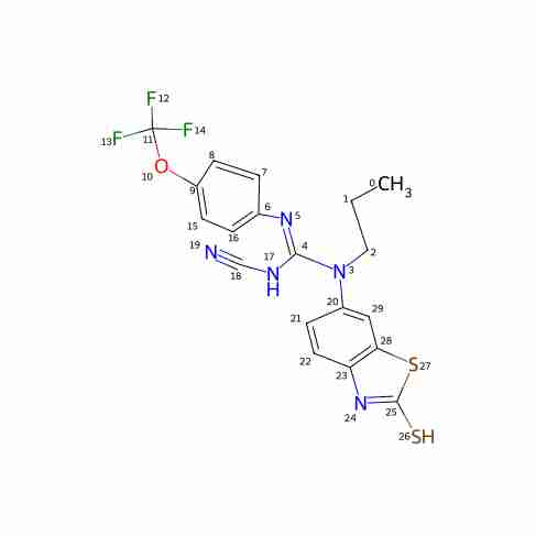 CCCN(/C(=N/c1ccc(OC(F)(F)F)cc1)NC#N)c1ccc2nc(S)sc2c1